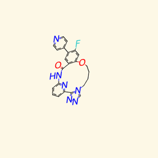 O=C1Nc2cccc(n2)-c2nncn2CCCCOc2cc(F)c(-c3ccncc3)cc21